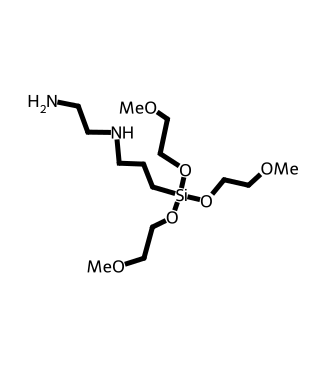 COCCO[Si](CCCNCCN)(OCCOC)OCCOC